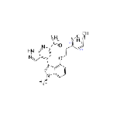 C#C/C=C\C(CCOc1cccc2c1c(-c1cc(C(N)=O)nc3[nH]ncc13)cn2C)=N/C